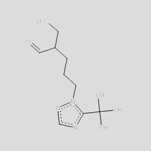 CCC(C=O)CCCn1ncnc1C(C)(C)C